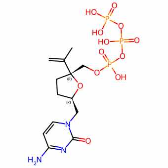 C=C(C)[C@@]1(COP(=O)(O)OP(=O)(O)OP(=O)(O)O)CC[C@H](Cn2ccc(N)nc2=O)O1